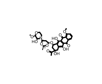 COc1cccc2c1C(=O)c1c(O)c3c(c(O)c1C2=O)C[C@@](O)(C(C)=O)C[C@@H]3O[C@H]1C[C@H](N2CCO[C@H](OC)[C@H]2O)O[C@H](C)O1